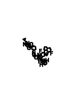 C#Cc1c(F)ccc2cccc(-c3ncc4c(N5C[C@H]6CC[C@@H](C5)N6)nc(O[C@@H]5CCN(c6cccc(S(=O)(=O)n7cnc(C8CC8)n7)c6)C5)nc4c3F)c12